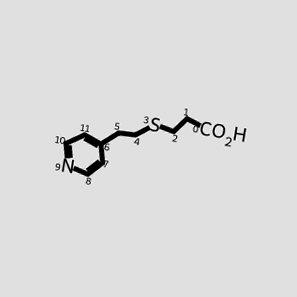 O=C(O)CCSCCc1ccncc1